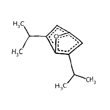 CC(C)c1cc2cc(C(C)C)c1o2